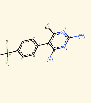 CCc1nc(N)nc(N)c1-c1ccc(C(C)(F)F)cc1